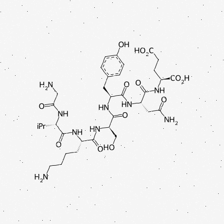 CC(C)[C@H](NC(=O)CN)C(=O)N[C@@H](CCCCN)C(=O)N[C@H](CO)C(=O)N[C@@H](Cc1ccc(O)cc1)C(=O)N[C@@H](CC(N)=O)C(=O)N[C@@H](CCC(=O)O)C(=O)O